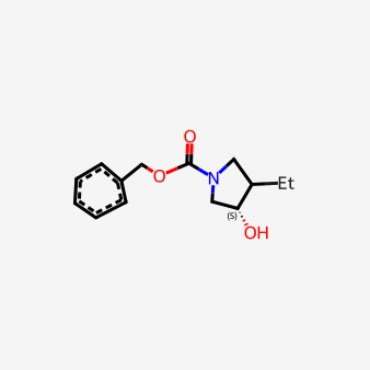 CCC1CN(C(=O)OCc2ccccc2)C[C@H]1O